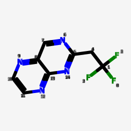 FC(F)(F)Cc1ncc2nccnc2n1